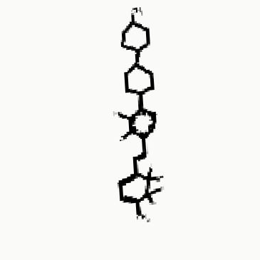 CC1=CC=C(/C=C/c2ccc(C3CCC(C4CCC(C)CC4)CC3)c(F)c2F)C(F)(F)C1(F)F